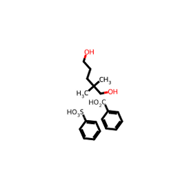 CC(C)(CO)CCCO.O=C(O)c1ccccc1.O=S(=O)(O)c1ccccc1